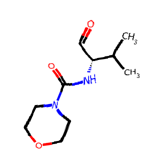 CC(C)[C@@H](C=O)NC(=O)N1CCOCC1